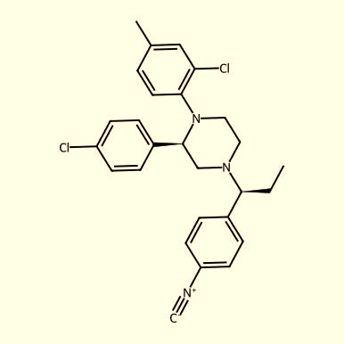 [C-]#[N+]c1ccc([C@H](CC)N2CCN(c3ccc(C)cc3Cl)[C@H](c3ccc(Cl)cc3)C2)cc1